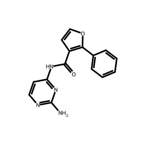 Nc1nccc(NC(=O)c2ccoc2-c2ccccc2)n1